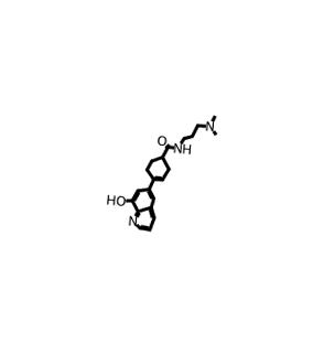 CN(C)CCCNC(=O)C1CC=C(c2cc(O)c3ncccc3c2)CC1